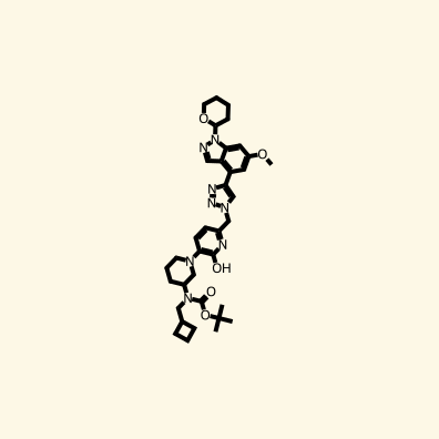 COc1cc(-c2cn(Cc3ccc(N4CCCC(N(CC5CCC5)C(=O)OC(C)(C)C)C4)c(O)n3)nn2)c2cnn(C3CCCCO3)c2c1